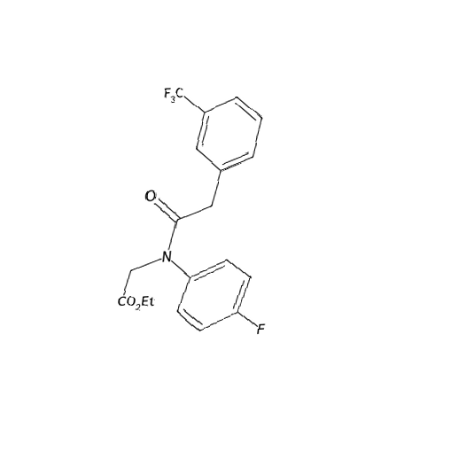 CCOC(=O)CN(C(=O)Cc1cccc(C(F)(F)F)c1)c1ccc(F)cc1